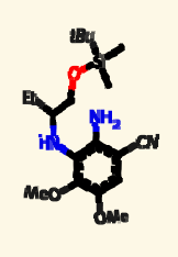 CCC(CO[Si](C)(C)C(C)(C)C)Nc1c(N)c(C#N)cc(OC)c1OC